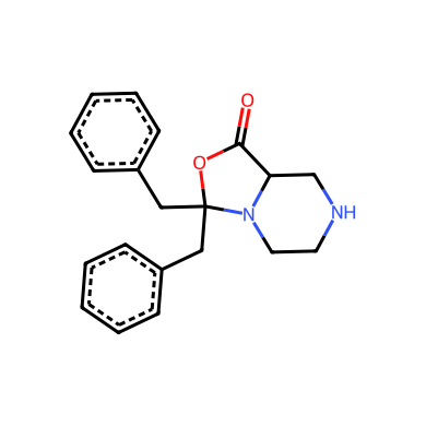 O=C1OC(Cc2ccccc2)(Cc2ccccc2)N2CCNCC12